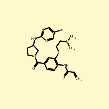 C=CC(=O)Nc1ccc(C(=O)N2CCC(Nc3ncc(Br)cn3)C2)cc1OCCN(C)C